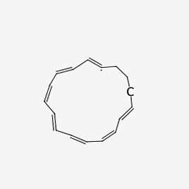 [C]1=C/C=C/C=C\C=C\C=C\C=C/C=C/CCC/1